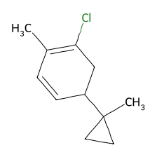 CC1=C(Cl)CC(C2(C)CC2)C=C1